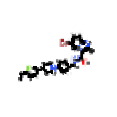 C=C(/C=C\C(F)=C/C)C1CCN(c2ccc(CNC(=O)c3c(CC)nc4ccc(Br)cn34)cc2)CC1